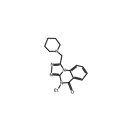 CCn1c(=O)c2ccccc2n2c(CN3CCCCC3)nnc12